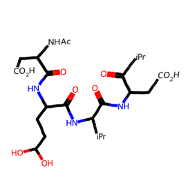 CC(=O)NC(CC(=O)O)C(=O)NC(CCC(O)O)C(=O)NC(C(=O)NC(CC(=O)O)C(=O)C(C)C)C(C)C